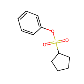 O=S(=O)(Oc1ccccc1)C1CCCC1